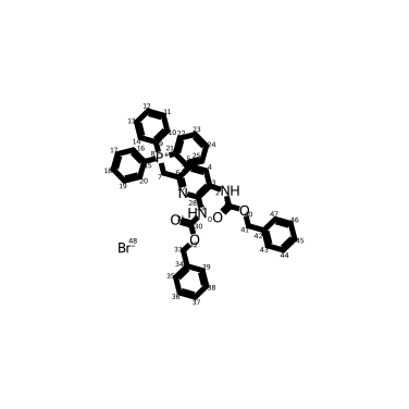 O=C(Nc1ccc(C[P+](c2ccccc2)(c2ccccc2)c2ccccc2)nc1NC(=O)OCc1ccccc1)OCc1ccccc1.[Br-]